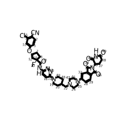 N#Cc1ccc(O[C@@H]2CC[C@@](F)(C(=O)Nc3ccc(N4CCC(CN5CCN(c6ccc7c(c6)C(=O)N(C6CCC(=O)NC6=O)C7=O)CC5)CC4)nn3)C2)cc1Cl